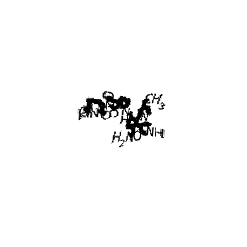 CCc1ccnc(-c2c(CNc3cccc4c3C(=O)N(C3CCC(=O)NC3=O)C4=O)ccc(C(N)=O)c2C2CCNCC2)c1